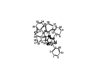 c1ccc(-c2nc(-c3ccccc3)nc(-c3cccc4c3C3(c5ccccc5S4)c4ccccc4-c4ccccc43)n2)cc1